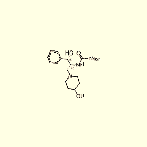 CCCCCCCCCC(=O)N[C@H](CN1CCC(O)CC1)[C@@H](O)c1ccccc1